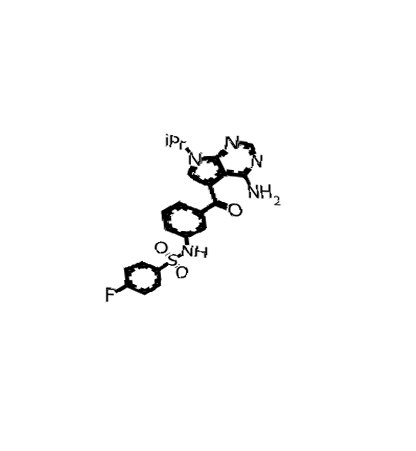 CC(C)n1cc(C(=O)c2cccc(NS(=O)(=O)c3ccc(F)cc3)c2)c2c(N)ncnc21